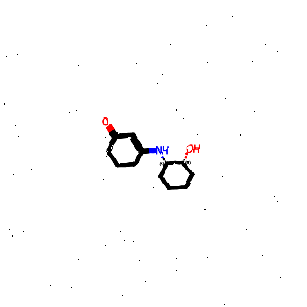 O=C1C=C(N[C@H]2CCCC[C@H]2O)CCC1